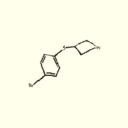 Brc1ccc(SC2CNC2)cc1